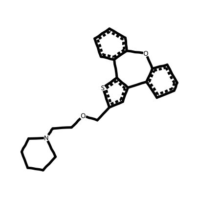 c1ccc2c(c1)Oc1ccccc1-c1sc(COCCN3CCCCC3)cc1-2